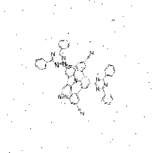 N#Cc1cc(C#N)cc(-c2cc(-c3nc(-c4ccccc4)nc(-c4ccccc4)n3)cc(-c3cc(C#N)cc(C#N)c3)c2-n2c3ccccc3c3cc(-c4nc(-c5ccccc5)nc(-c5ccccc5)n4)ccc32)c1